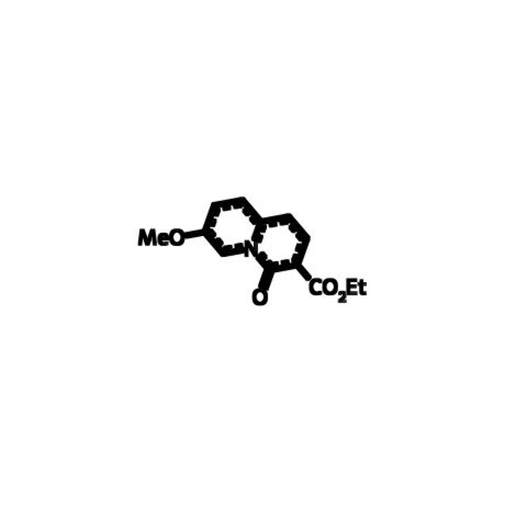 CCOC(=O)c1ccc2ccc(OC)cn2c1=O